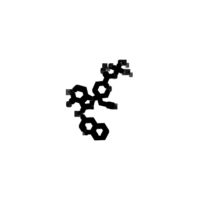 CC(C)(C)OC(=O)C1CCC(CC#N)(n2nc(Nc3cnc4ccccc4c3)c3c(=O)[nH]ccc32)CO1